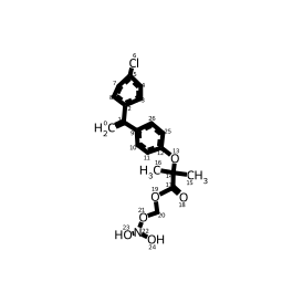 C=C(c1ccc(Cl)cc1)c1ccc(OC(C)(C)C(=O)OCON(O)O)cc1